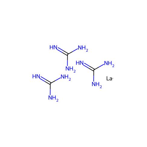 N=C(N)N.N=C(N)N.N=C(N)N.[La]